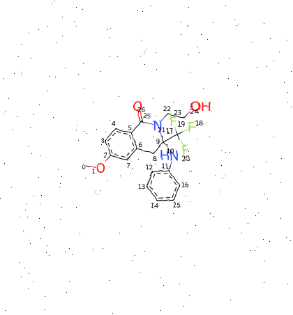 COc1ccc2c(c1)CC(Nc1ccccc1)(C(F)(F)F)N(CCO)C2=O